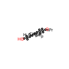 CCCOc1ccc(-c2c3ccccc3c(-c3c4ccccc4c(-c4ccc5c(c4)C(C)(C)c4cc(-c6ccc7c(c6)C(C)(C)c6cc(-c8c9ccccc9c(-c9ccc(O)cc9)c9ccccc89)ccc6-7)ccc4-5)c4ccccc34)c3ccccc23)cc1